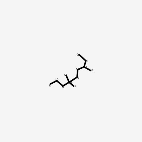 [CH2]CC(C)CCC(C)(C)CCC